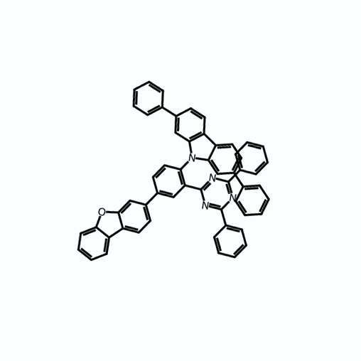 c1ccc(-c2ccc3c4ccc(-c5ccccc5)cc4n(-c4ccc(-c5ccc6c(c5)oc5ccccc56)cc4-c4nc(-c5ccccc5)nc(-c5ccccc5)n4)c3c2)cc1